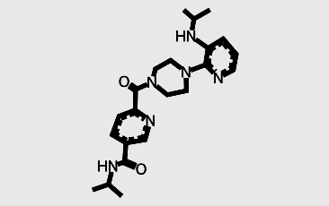 CC(C)NC(=O)c1ccc(C(=O)N2CCN(c3ncccc3NC(C)C)CC2)nc1